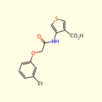 CCc1cccc(OCC(=O)Nc2cscc2C(=O)O)c1